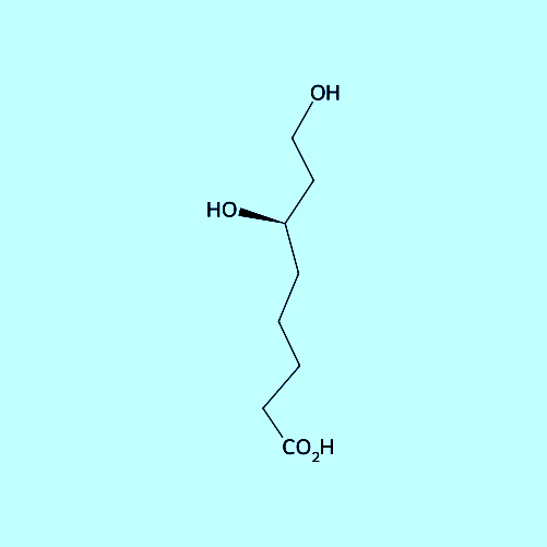 O=C(O)CCCC[C@@H](O)CCO